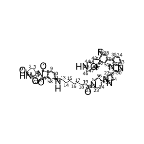 O=C1CCC(N2C(=O)c3ccc(NCCCCCCCC(=O)N4CCC(n5cc(-c6cnc7cccc(-c8cc(F)c(CC9CNCCO9)c(F)c8)c7n6)cn5)CC4)cc3C2=O)C(=O)N1